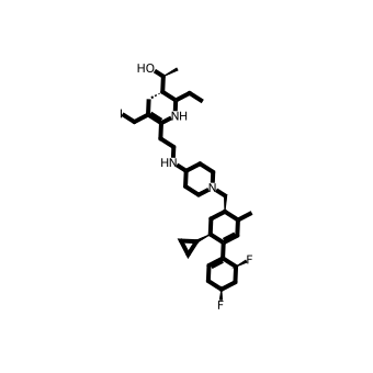 CCC1NC(CCNC2CCN(C[C@@H]3C[C@H](C4CC4)C(C4=CC[C@H](F)C[C@@H]4F)=CC3C)CC2)=C(CI)C[C@@H]1[C@H](C)O